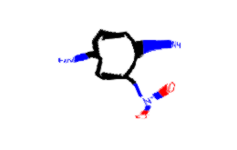 N=C1C=CC(=N)C([N+](=O)[O-])=C1